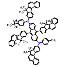 Cc1ccc(N(c2ccc3c(c2)C(C)(C)c2ccc4ccccc4c2-3)c2ccc3c(-c4ccc5c(c4)C(C)(C)c4c-5ccc5ccccc45)c4cc(N(c5ccc(C(C)(C)C)cc5)c5ccc6c(c5)C(C)(C)c5ccc7ccccc7c5-6)ccc4c(-c4ccc5c(c4)C(C)(C)c4c-5ccc5ccccc45)c3c2)cc1